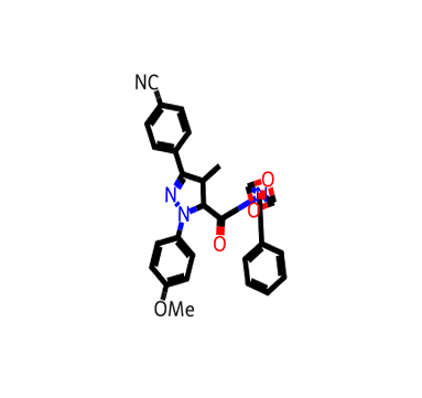 COc1ccc(N2N=C(c3ccc(C#N)cc3)C(C)C2C(=O)N2C3OC(O3)C2c2ccccc2)cc1